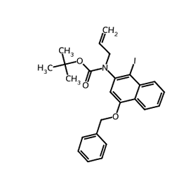 C=CCN(C(=O)OC(C)(C)C)c1cc(OCc2ccccc2)c2ccccc2c1I